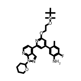 Cc1cc(F)c(N)cc1-c1cc(OCCO[Si](C)(C)C(C)(C)C)nc(-c2ccnc3c2cnn3C2CCCCO2)c1